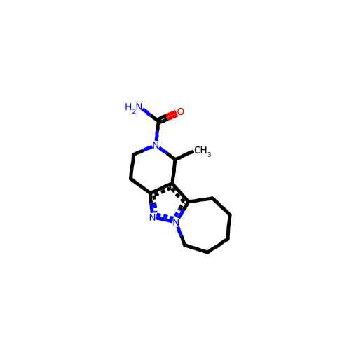 CC1c2c(nn3c2CCCCC3)CCN1C(N)=O